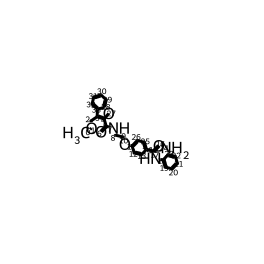 COCc1c(C(=O)NCCOc2ccc(C(=O)Nc3ccccc3N)cc2)oc2ccccc12